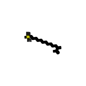 C=C(C)C(=C)CCCCCCCCCCCS(C)(CC)CC